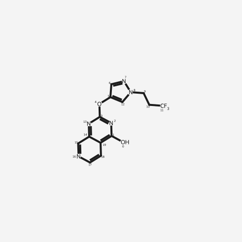 Oc1nc(Oc2cnn(CCC(F)(F)F)c2)nc2cnccc12